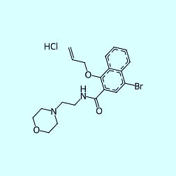 C=CCOc1c(C(=O)NCCN2CCOCC2)cc(Br)c2ccccc12.Cl